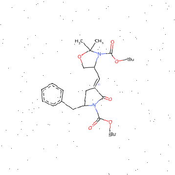 CC(C)(C)OC(=O)N1C(=O)/C(=C/C2COC(C)(C)N2C(=O)OC(C)(C)C)CC1Cc1ccccc1